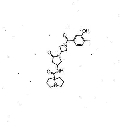 Cc1ccc(C(=O)N2CC(N3CC(NC(=O)C45CCCN4CCC5)CC3=O)C2)cc1O